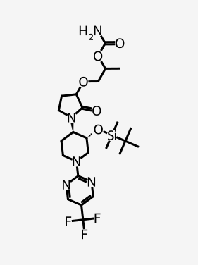 CC(COC1CCN([C@@H]2CCN(c3ncc(C(F)(F)F)cn3)C[C@H]2O[Si](C)(C)C(C)(C)C)C1=O)OC(N)=O